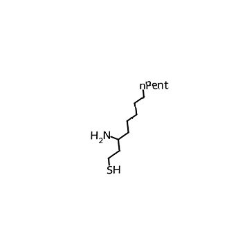 CCCCCCCCCCC(N)CCS